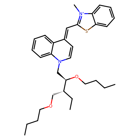 CCCCOC[C@@H](CC)[C@@H](CN1C=C/C(=C\c2sc3ccccc3[n+]2C)c2ccccc21)OCCCC